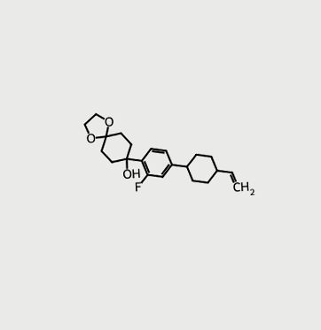 C=CC1CCC(c2ccc(C3(O)CCC4(CC3)OCCO4)c(F)c2)CC1